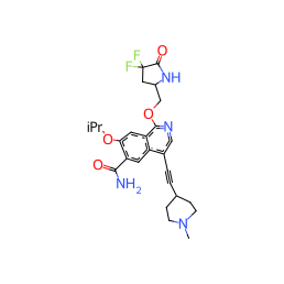 CC(C)Oc1cc2c(OCC3CC(F)(F)C(=O)N3)ncc(C#CC3CCN(C)CC3)c2cc1C(N)=O